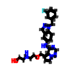 OCCNCCOCc1ccn2ncnc(Nc3ccc4c(cnn4Cc4cccc(F)c4)c3)c12